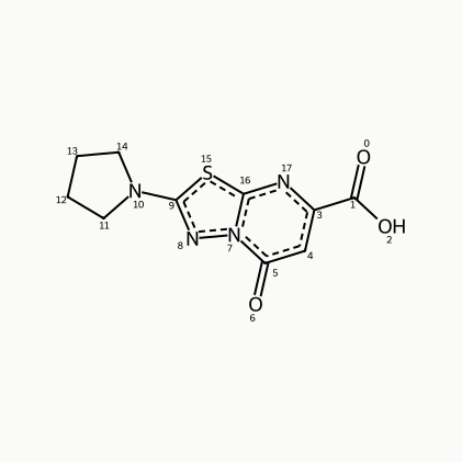 O=C(O)c1cc(=O)n2nc(N3CCCC3)sc2n1